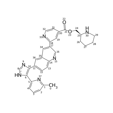 Cc1cccc(-c2[nH]cnc2-c2ccc3ncc(-c4cc(C(=O)OC[C@@H]5CCCCN5)ccn4)cc3c2)n1